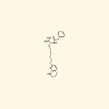 O=C(Cc1ccccc1)N[C@@H](CCCCCCCc1ccc2c(n1)NCCC2)C(=O)O